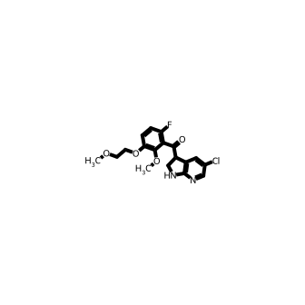 COCCOc1ccc(F)c(C(=O)C2CNc3ncc(Cl)cc32)c1OC